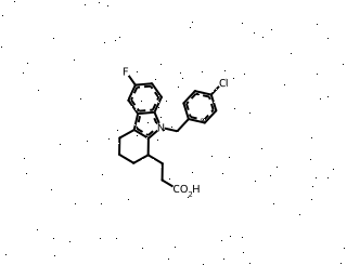 O=C(O)CCC1CCCc2c1n(Cc1ccc(Cl)cc1)c1ccc(F)cc21